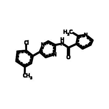 Cc1ccc(Cl)c(-c2cnc(NC(=O)c3cccnc3C)cn2)c1